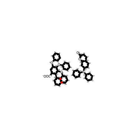 O=C([O-])c1cc(Oc2ccccc2)c(Oc2ccccc2)c(Oc2ccccc2)c1-c1ccccc1.O=c1ccc2ccc([S+](c3ccccc3)c3ccccc3)cc2o1